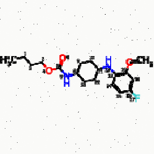 CCCCOC(=O)N[C@H]1CC[C@@H](Nc2ccc(F)cc2OC)CC1